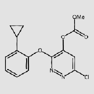 COC(=O)Oc1cc(Cl)nnc1Oc1ccccc1C1CC1